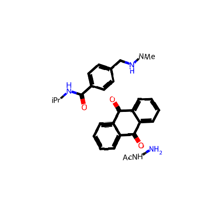 CNNCc1ccc(C(=O)NC(C)C)cc1.O=C1c2ccccc2C(=O)c2ccccc21.[CH2]C(=O)NN